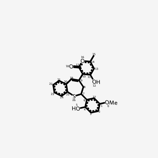 COc1ccc(O)c(C2CC(c3c(O)cc(C)oc3=O)=Cc3ccccc3S2)c1